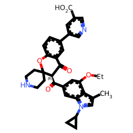 CCOc1cc(C(=O)[C@@H]2C(=O)c3cc(-c4cncc(C(=O)O)c4)ccc3OC23CCNCC3)cc2c1c(C)cn2C1CC1